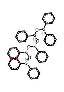 c1ccc([SiH](O[SiH](O[SiH](c2ccccc2)c2ccccc2)c2ccccc2)O[SiH](O[SiH](c2ccccc2)c2ccccc2)c2ccccc2)cc1